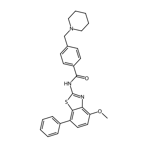 COc1ccc(-c2ccccc2)c2sc(NC(=O)c3ccc(CN4CCCCC4)cc3)nc12